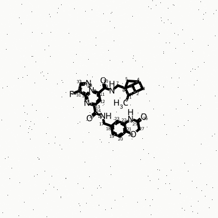 CC1C2CC3CC1(CNC(=O)c1cc(C(=O)NCc4ccc5c(c4)NC(=O)CO5)nc4c(F)cnn14)C32